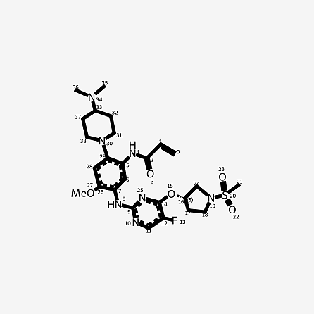 C=CC(=O)Nc1cc(Nc2ncc(F)c(O[C@H]3CCN(S(C)(=O)=O)C3)n2)c(OC)cc1N1CCC(N(C)C)CC1